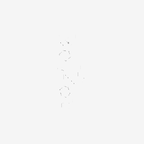 CCN(CC)c1cc(C(F)(F)F)ccc1CNC(=O)C(C)c1ccc(NS(C)(=O)=O)c(F)c1